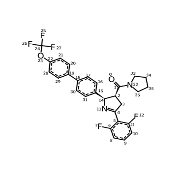 O=C([C@H]1CC(c2c(F)cccc2F)=N[C@H]1c1ccc(-c2ccc(OC(F)(F)F)cc2)cc1)N1CCCC1